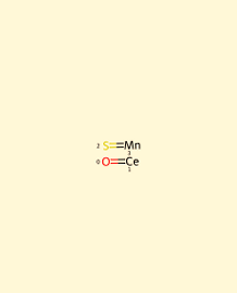 [O]=[Ce].[S]=[Mn]